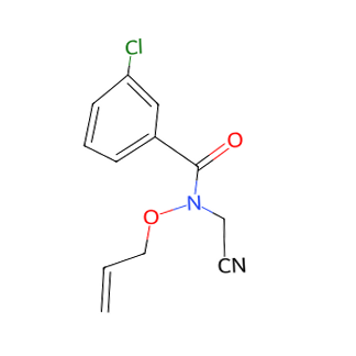 C=CCON(CC#N)C(=O)c1cccc(Cl)c1